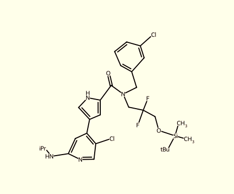 CC(C)Nc1cc(-c2c[nH]c(C(=O)N(Cc3cccc(Cl)c3)CC(F)(F)CO[Si](C)(C)C(C)(C)C)c2)c(Cl)cn1